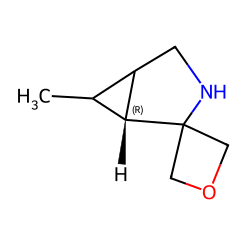 CC1C2CNC3(COC3)[C@H]12